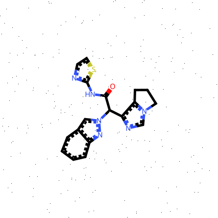 O=C(Nc1nccs1)C(c1ncn2c1CCC2)n1cc2ccccc2n1